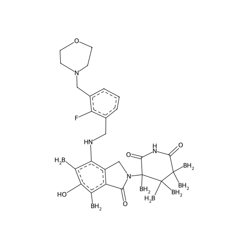 Bc1c(O)c(B)c2c(c1NCc1cccc(CN3CCOCC3)c1F)CN(C1(B)C(=O)NC(=O)C(B)(B)C1(B)B)C2=O